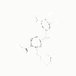 COc1cc(Nc2ccc(C(N)=O)c(NC3CCSCC3)c2)cc(OC)c1OC